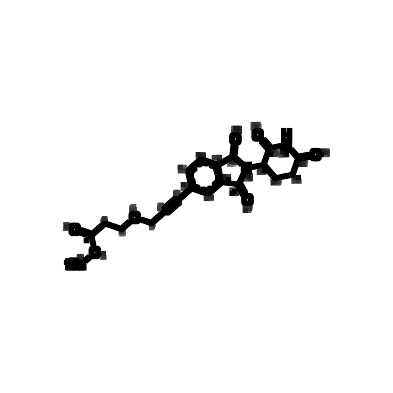 CC(C)(C)OC(=O)CCOCC#Cc1ccc2c(c1)C(=O)N(C1CCC(=O)NC1=O)C2=O